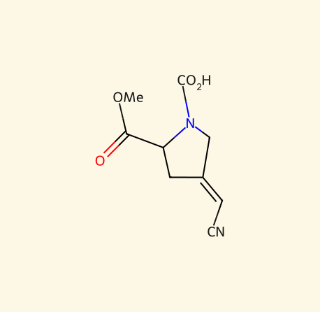 COC(=O)C1CC(=CC#N)CN1C(=O)O